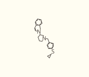 C1=CN(C2CCCN(Cc3ccc(SC4CC4)cc3)C2)Cc2ccccc21